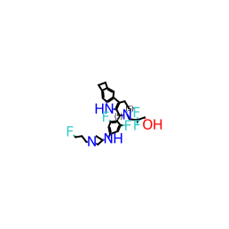 C[C@H]1Cc2c([nH]c3cc4c(cc23)CC4)[C@H](c2c(F)cc(NC3CN(CCCF)C3)cc2F)N1CC(F)(F)CO